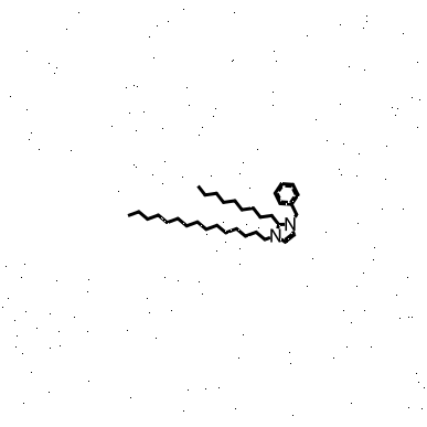 CCCCCCCCCCCCCCCN1C=CN(Cc2ccccc2)C1CCCCCCCCC